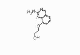 Nc1ncc2cccc(OCCO)c2n1